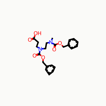 CN(CCN(CCC(=O)O)C(=O)OCc1ccccc1)C(=O)OCc1ccccc1